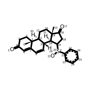 C[C@]12CCC(=O)C=C1C=C[C@@H]1[C@@H]2CC[C@]2(C)C(=O)CC([S+]([O-])c3ccccc3)[C@@H]12